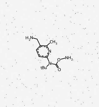 Cc1nc(N(C(=O)ON)C(C)(C)C)ccc1CN